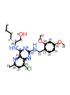 CCCC[C@H](CO)Nc1nc(NCc2ccc(OC)cc2OC)nc2c(Cl)cc(C)nc12